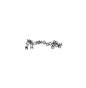 N#Cc1ccc2ncnc(N[C@H]3CC[C@H](N4CCN(CCOCCOc5ccc6c(c5)C(=O)N(C5CCC(=O)NC5=O)C6=O)CC4)CC3)c2c1